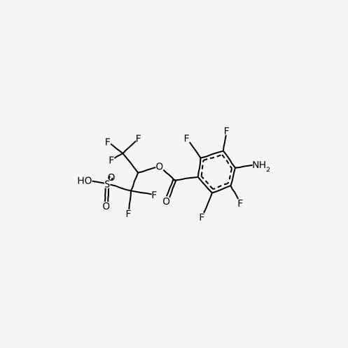 Nc1c(F)c(F)c(C(=O)OC(C(F)(F)F)C(F)(F)S(=O)(=O)O)c(F)c1F